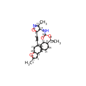 Cc1cc2ccc(C#Cc3onc(C)c3NC(=O)OC(C)c3ccccc3)cc2o1